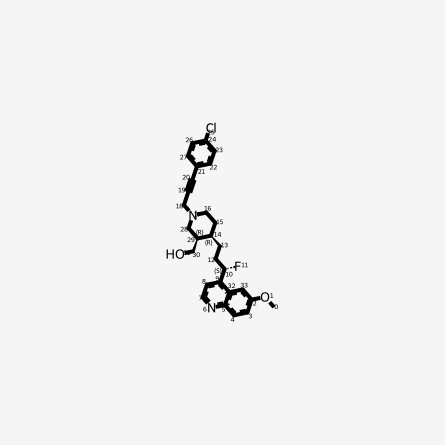 COc1ccc2nccc([C@@H](F)CC[C@@H]3CCN(CC#Cc4ccc(Cl)cc4)C[C@@H]3CO)c2c1